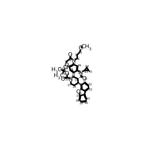 COCCCN1C(=O)COc2ccc(N(C(=O)[C@H]3CN(C(=O)OC(C)(C)C)CC[C@@H]3c3cccc4c3oc3ccccc34)C3CC3)cc21